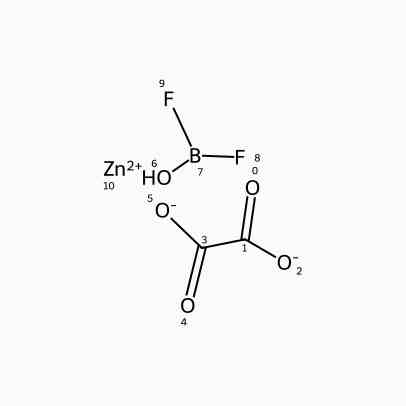 O=C([O-])C(=O)[O-].OB(F)F.[Zn+2]